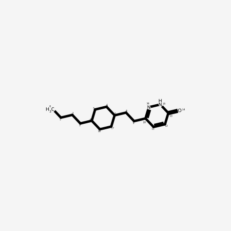 CCCCC1CCC(CCc2ccc(=O)[nH]n2)CC1